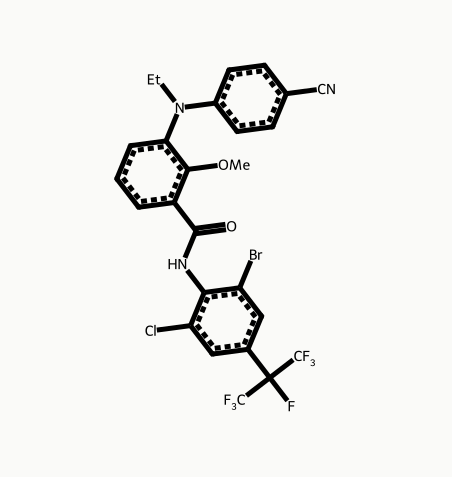 CCN(c1ccc(C#N)cc1)c1cccc(C(=O)Nc2c(Cl)cc(C(F)(C(F)(F)F)C(F)(F)F)cc2Br)c1OC